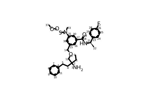 CCC(N)(CCc1ccccc1)COCc1cc(C(=O)N[C@H](C)c2ccc(F)cc2)cc(N(C)SOOC)c1